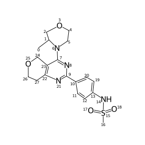 CC1COCCN1c1nc(-c2ccc(NS(C)(=O)=O)cc2)nc2c1COCC2